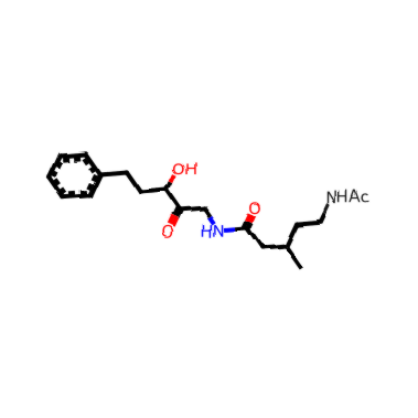 CC(=O)NCCC(C)CC(=O)NCC(=O)C(O)CCc1ccccc1